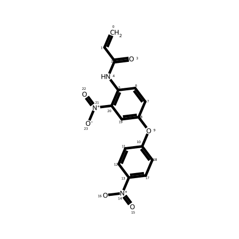 C=CC(=O)Nc1ccc(Oc2ccc([N+](=O)[O-])cc2)cc1[N+](=O)[O-]